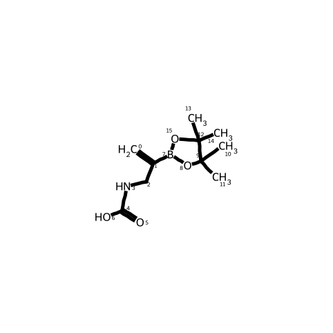 C=C(CNC(=O)O)B1OC(C)(C)C(C)(C)O1